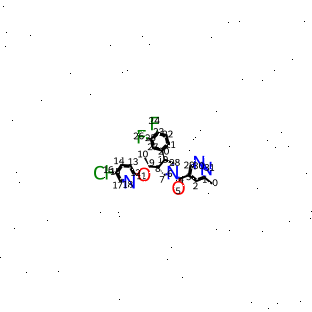 Cc1cc(C(=O)N2C[C@H]([C@H](C)Oc3ccc(Cl)cn3)[C@@H](c3ccc(F)c(F)c3)C2)cnn1